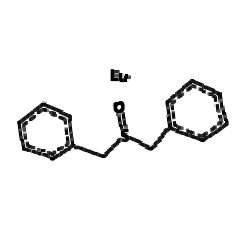 O=S(Cc1ccccc1)Cc1ccccc1.[Eu]